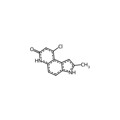 Cc1cc2c(ccc3[nH]c(=O)cc(Cl)c32)[nH]1